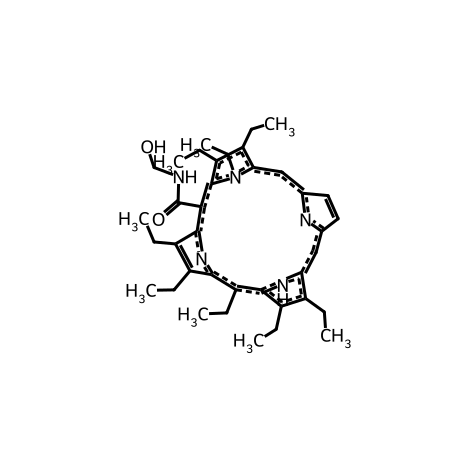 CCC1=C(CC)c2nc1c(CC)c1[nH]c(cc3nc(cc4c(CC)c(CC)c(c2C(=O)NCO)n4CC)C=C3)c(CC)c1CC